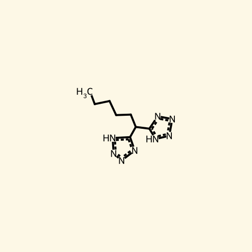 CCCCCC(c1nnn[nH]1)c1nnn[nH]1